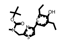 CCc1cc(-c2csc(CN(C)C(=O)OC(C)(C)C)n2)cc(CC)c1O